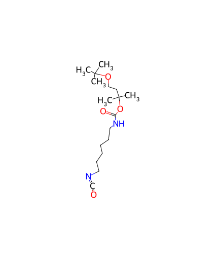 CC(C)(C)OCCC(C)(C)OC(=O)NCCCCCCN=C=O